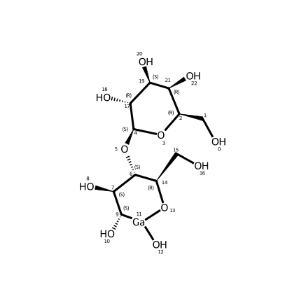 OC[C@H]1O[C@@H](O[C@H]2[C@H](O)[C@@H](O)[Ga]([OH])[O][C@@H]2CO)[C@H](O)[C@@H](O)[C@H]1O